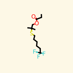 CCC(=O)OCC(C)(C)SCCCCCC(F)(F)F